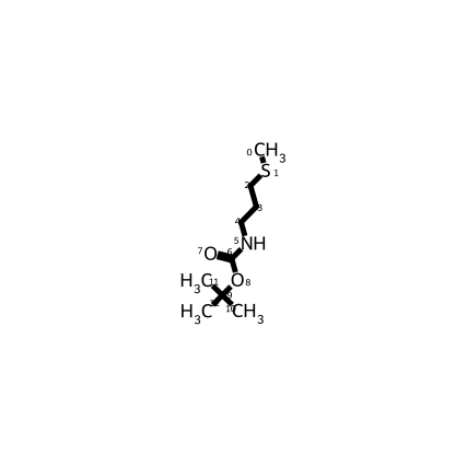 CSCCCNC(=O)OC(C)(C)C